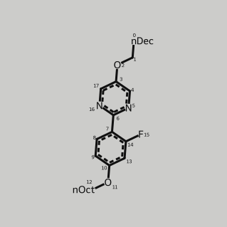 CCCCCCCCCCCOc1cnc(-c2ccc(OCCCCCCCC)cc2F)nc1